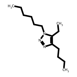 CCCCCCn1nnc(CCCC)c1CC